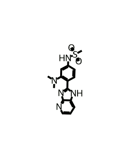 CN(C)c1cc(NS(C)(=O)=O)ccc1-c1nc2ncccc2[nH]1